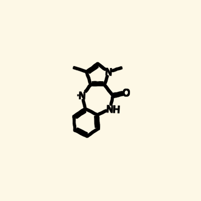 Cc1cn(C)c2c1[N]c1ccccc1NC2=O